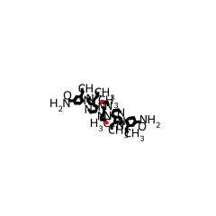 CCc1cc(C(N)=O)ccc1-n1nc(C(C)C)c2c(-n3ccnc3-c3nccn3-c3ccnc4c3c(C(C)C)nn4-c3ccc(C(N)=O)cc3CC)ccnc21